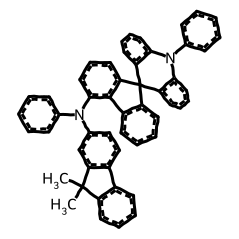 CC1(C)c2ccccc2-c2ccc(N(c3ccccc3)c3cccc4c3-c3ccccc3C43c4ccccc4N(c4ccccc4)c4ccccc43)cc21